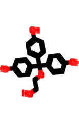 OCCOC(c1ccc(O)cc1)(c1ccc(O)cc1)c1ccc(O)cc1